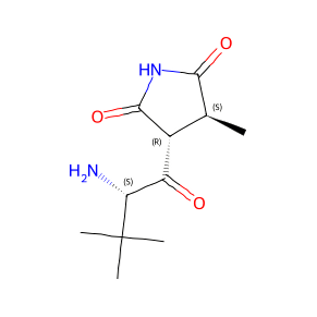 C[C@@H]1C(=O)NC(=O)[C@H]1C(=O)[C@@H](N)C(C)(C)C